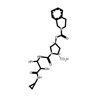 CCCC(NC(=O)N1C[C@@H](OC(=O)N2CCc3ccccc3C2)C[C@@H]1C(=O)O)C(O)C(=O)NC1CC1